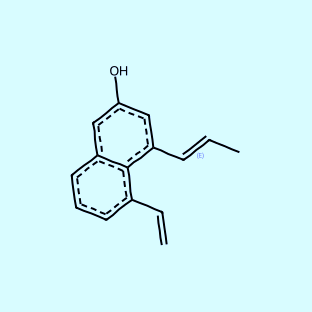 C=Cc1cccc2cc(O)cc(/C=C/C)c12